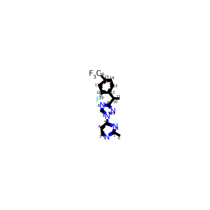 Cc1nccc(-n2cnc(C(C)c3ccc(C(F)(F)F)cc3F)n2)n1